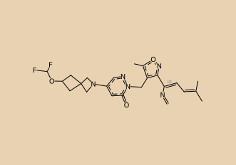 C=N/C(=C\C=C(C)C)c1noc(C)c1Cn1ncc(N2CC3(CC(OC(F)F)C3)C2)cc1=O